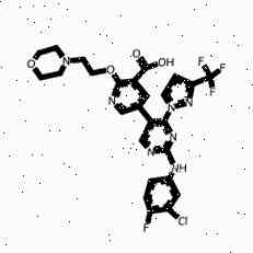 O=C(O)c1cc(-c2cnc(Nc3ccc(F)c(Cl)c3)nc2-n2ccc(C(F)(F)F)n2)cnc1OCCN1CCOCC1